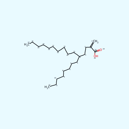 C=C(CCC(CCCCCCCC)CCCCCCCCCC)C(=O)O